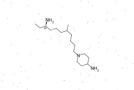 CC[C@@H](N)CCCC(C)CCCCN1CCC(N)CC1